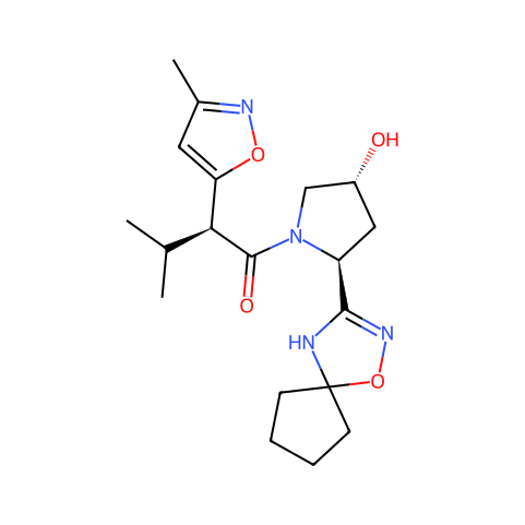 Cc1cc([C@@H](C(=O)N2C[C@H](O)C[C@H]2C2=NOC3(CCCC3)N2)C(C)C)on1